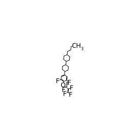 CCCCC1CCC(C2CCC(c3cc(F)c(OC(F)(F)C(F)=C(F)F)c(F)c3)CC2)CC1